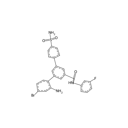 Nc1cc(Br)ccc1-c1cc(C(=O)Nc2cccc(F)c2)cc(-c2ccc(S(N)(=O)=O)cc2)c1